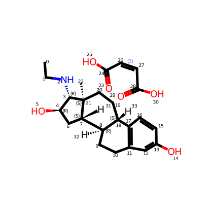 CCN[C@H]1[C@H](O)C[C@H]2[C@@H]3CCc4cc(O)ccc4[C@H]3CC[C@@]21C.O=C(O)/C=C\C(=O)O